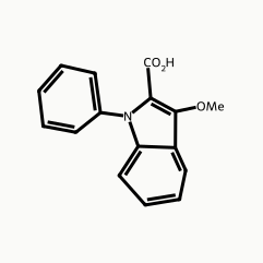 COc1c(C(=O)O)n(-c2ccccc2)c2ccccc12